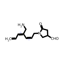 C=C/C=C(\C=C/CN1CC(C=O)CC1=O)CN